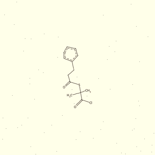 CC(C)(SC(=O)CCc1ccccc1)C(=O)Cl